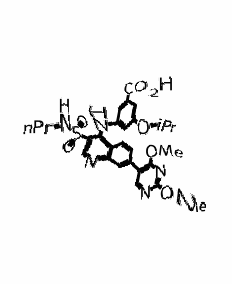 CCCNS(=O)(=O)c1cnc2cc(-c3cnc(OC)nc3OC)ccc2c1Nc1cc(OC(C)C)cc(C(=O)O)c1